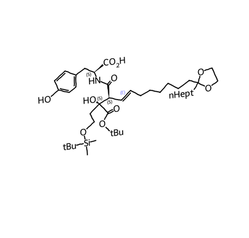 CCCCCCCC1(CCCCCC/C=C/[C@H](C(=O)N[C@@H](Cc2ccc(O)cc2)C(=O)O)[C@@](O)(CCO[Si](C)(C)C(C)(C)C)C(=O)OC(C)(C)C)OCCO1